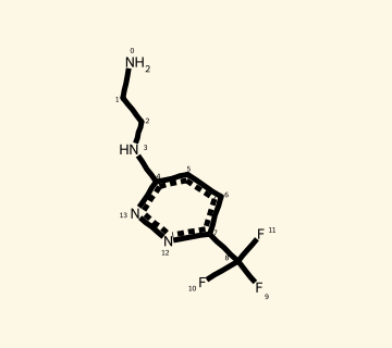 NCCNc1ccc(C(F)(F)F)nn1